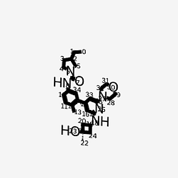 CCC1CCN(C(=O)Nc2ccc(C)c(-c3cc(N[C@H]4C[C@](C)(O)C4)nc(N4CCOCC4)c3)c2)C1